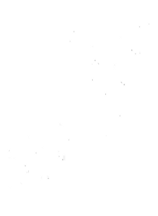 Cc1cc(C)nc(NS(=O)(=O)c2ccc(NC(=O)C(C)(C(C)(C)C)C(C)(C)C)cc2)n1